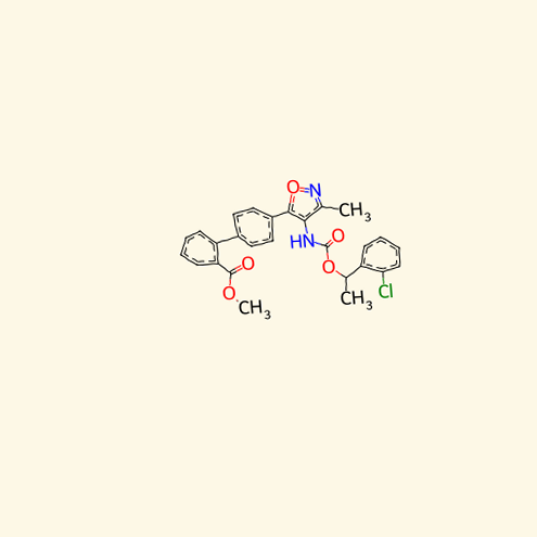 COC(=O)c1ccccc1-c1ccc(-c2onc(C)c2NC(=O)OC(C)c2ccccc2Cl)cc1